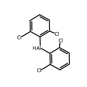 Clc1cccc(Cl)[c]1[AlH][c]1c(Cl)cccc1Cl